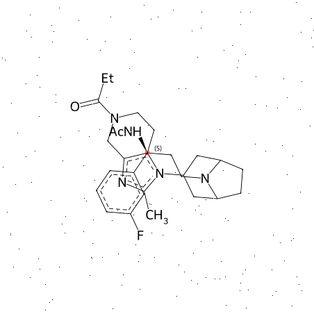 CCC(=O)N1CCc2c(nc(C)n2C2CC3CCC(C2)N3CC[C@H](NC(C)=O)c2cccc(F)c2)C1